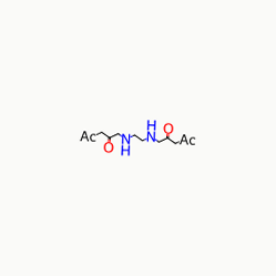 CC(=O)CC(=O)CNCCNCC(=O)CC(C)=O